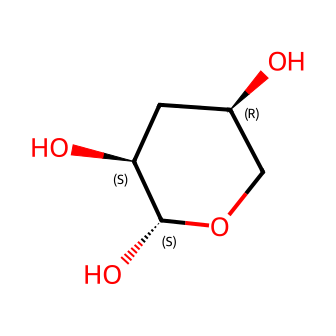 O[C@H]1CO[C@H](O)[C@@H](O)C1